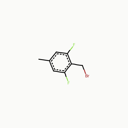 Cc1cc(F)c(CBr)c(F)c1